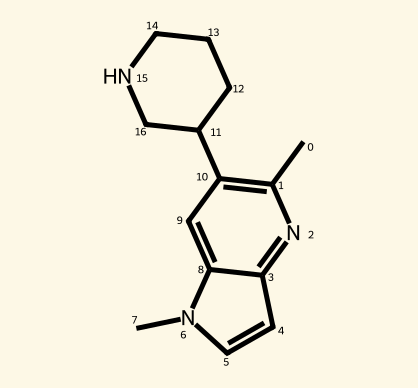 Cc1nc2ccn(C)c2cc1C1CCCNC1